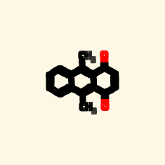 Cc1c2c(c(C)c3ccccc13)C(=O)C=CC2=O